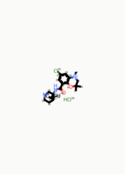 CN1CC(C)(C)Oc2c(C(=O)N[C@H]3CN4CCC3CC4)cc(Cl)cc21.Cl